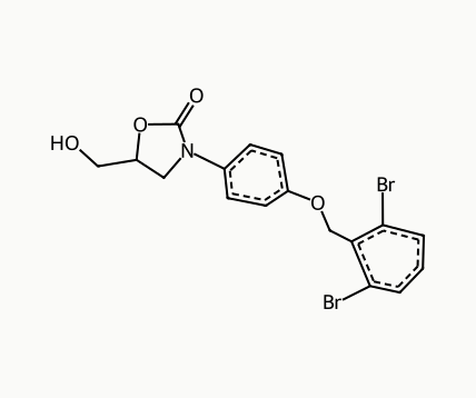 O=C1OC(CO)CN1c1ccc(OCc2c(Br)cccc2Br)cc1